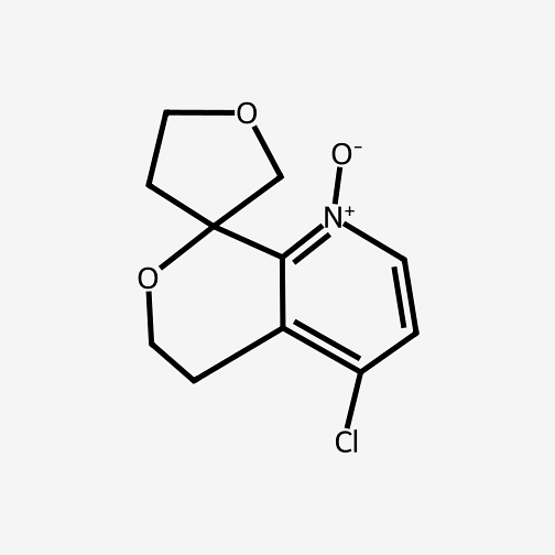 [O-][n+]1ccc(Cl)c2c1C1(CCOC1)OCC2